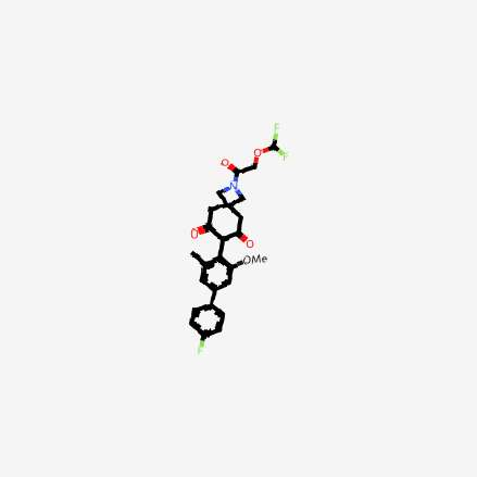 COc1cc(-c2ccc(F)cc2)cc(C)c1C1C(=O)CC2(CC1=O)CN(C(=O)COC(F)F)C2